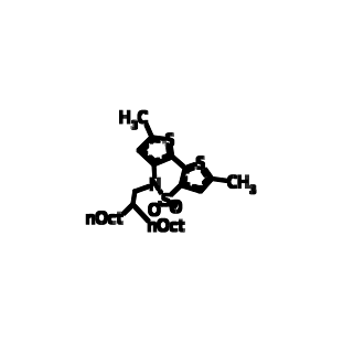 CCCCCCCCC(CCCCCCCC)CN1c2cc(C)sc2-c2sc(C)cc2S1(=O)=O